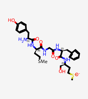 CSCC[C@@H](NC(=O)[C@@H](N)Cc1ccc(O)cc1)C(=O)NCC(=O)N[C@@H](Cc1ccccc1)C(=O)N[C@H](CO)CC[S+](C)[O-]